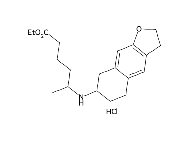 CCOC(=O)CCCC(C)NC1CCc2cc3c(cc2C1)OCC3.Cl